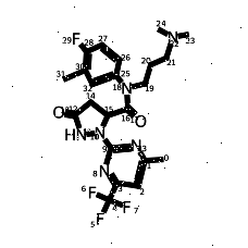 Cc1cc(C(F)(F)F)nc(N2NC(=O)CC2C(=O)N(CCCN(C)C)c2ccc(F)c(C)c2)n1